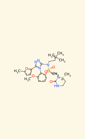 COc1cccc(OC)c1-n1c(-c2ccc(C)o2)nnc1N(CC[Si](C)(C)C)S(=O)(=O)CCN1C(=O)NCC[C@H]1C